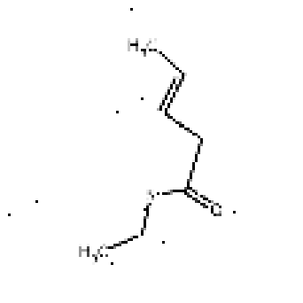 CC=CCC(=O)SCC